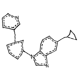 c1cncc(-c2cccc(-n3cnc4cc(C5CC5)ccc43)c2)c1